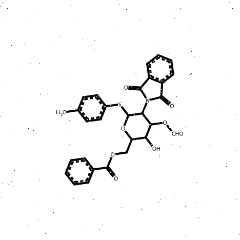 Cc1ccc(SC2OC(COC(=O)c3ccccc3)C(O)C(OC=O)C2N2C(=O)c3ccccc3C2=O)cc1